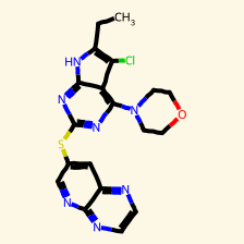 CCc1[nH]c2nc(Sc3cnc4nccnc4c3)nc(N3CCOCC3)c2c1Cl